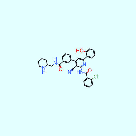 N#Cc1c(-c2cccc(C(=O)NCC3CCCCN3)c2)cc(-c2ccccc2O)nc1NC(=O)c1ccccc1Cl